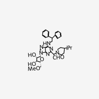 COC[C@H]1O[C@@H](n2cnc3c(NCC(c4ccccc4)c4ccccc4)nc(C(C=O)N4CCC(C(C)C)CC4)nc32)[C@@H](O)[C@@H]1O